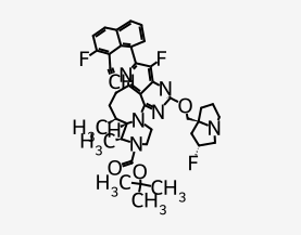 C#Cc1c(F)ccc2cccc(-c3nc4c5c(nc(OC[C@@]67CCCN6C[C@H](F)C7)nc5c3F)N3CCN(C(=O)OC(C)(C)C)[C@@H](C)[C@@H]3[C@@H](C)CC4)c12